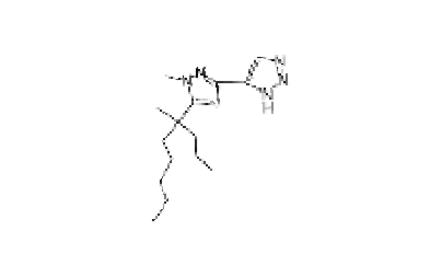 CCCCCC(C)(CCC)c1cc(-c2cnn[nH]2)nn1C